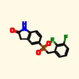 O=C1Cc2cc(S(=O)(=O)Cc3cccc(F)c3F)ccc2N1